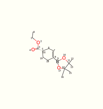 CCOC(=O)[C@@H]1CC=C(B2OC(C)(C)C(C)(C)O2)CC1